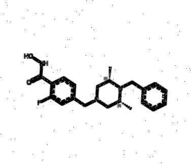 C[C@@H]1CN(Cc2ccc(C(=O)NO)c(F)c2)C[C@H](C)N1Cc1ccccc1